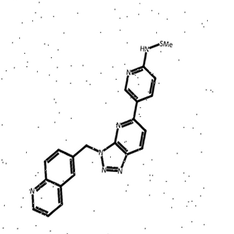 CSNc1ccc(-c2ccc3nnn(Cc4ccc5ncccc5c4)c3n2)cn1